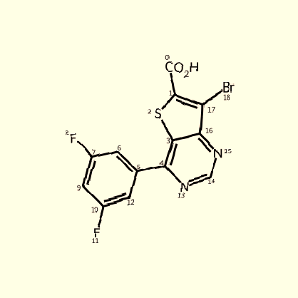 O=C(O)c1sc2c(-c3cc(F)cc(F)c3)ncnc2c1Br